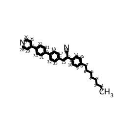 CCCCCCCCc1ccc(/C(C#N)=C/c2ccc(-c3ccc(-c4ccncc4)cc3)cc2)cc1